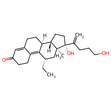 C=C(CCCO)[C@]1(O)CC[C@H]2[C@@H]3CCC4=CC(=O)CCC4=C3[C@@H](CC)C[C@@]21C